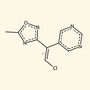 Cc1nc(/C(=C/Cl)c2cncnc2)no1